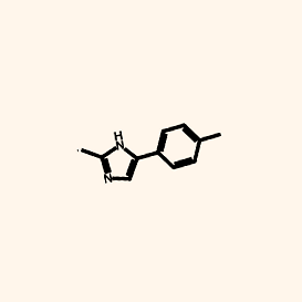 [CH2]c1ncc(-c2ccc(C)cc2)[nH]1